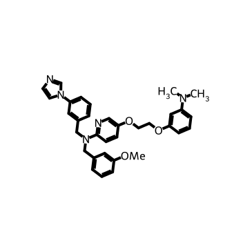 COc1cccc(CN(Cc2cccc(-n3ccnc3)c2)c2ccc(OCCOc3cccc(N(C)C)c3)cn2)c1